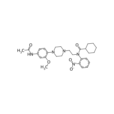 COc1cc(NC(C)=O)ccc1N1CCN(CCN(C(=O)C2CCCCC2)c2ccccc2[N+](=O)[O-])CC1